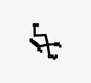 NC(CCO)([PH2]=O)C(=O)O